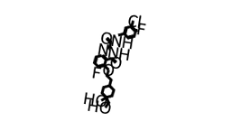 O=C(NCc1ccc(F)c(Cl)c1)c1nc2ccc(F)c(OCCC3CCC(O)(CO)CC3)c2c(=O)[nH]1